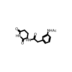 CC(=O)Nc1cccc(CC(=O)NC2CCC(=O)NC2=O)c1